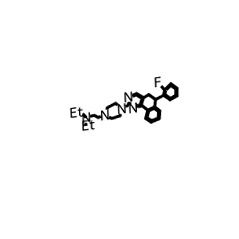 CCN(CC)CCN1CCN(c2ncc3c(n2)-c2ccccc2C(c2ccccc2F)C3)CC1